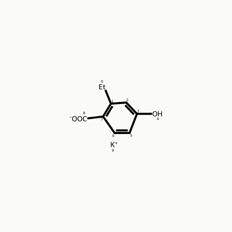 CCc1cc(O)ccc1C(=O)[O-].[K+]